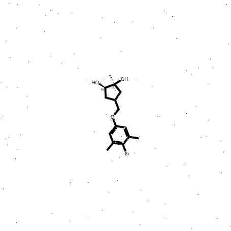 Cc1cc(OCC2C[C@@H](O)[C@@](C)(O)C2)cc(C)c1Br